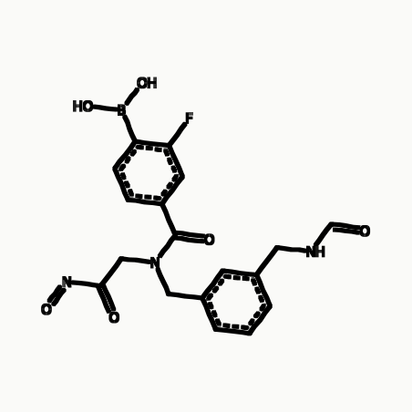 O=CNCc1cccc(CN(CC(=O)N=O)C(=O)c2ccc(B(O)O)c(F)c2)c1